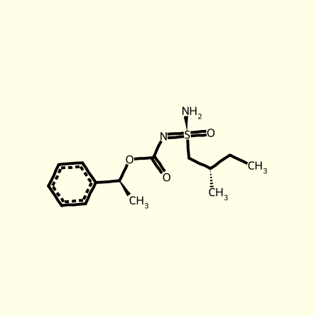 CC[C@H](C)C[S@@](N)(=O)=NC(=O)O[C@@H](C)c1ccccc1